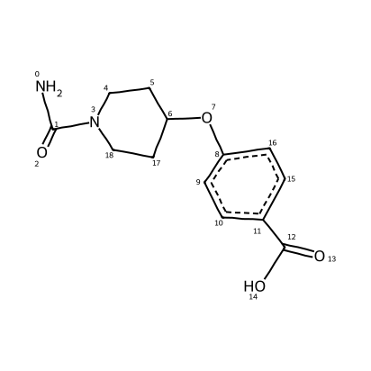 NC(=O)N1CCC(Oc2ccc(C(=O)O)cc2)CC1